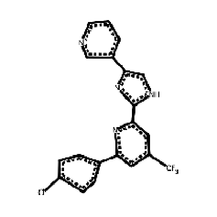 FC(F)(F)c1cc(-c2ccc(Cl)cc2)nc(-c2nc(-c3cccnc3)c[nH]2)c1